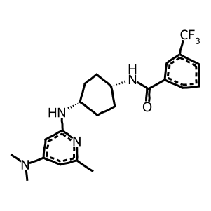 Cc1cc(N(C)C)cc(N[C@H]2CC[C@@H](NC(=O)c3cccc(C(F)(F)F)c3)CC2)n1